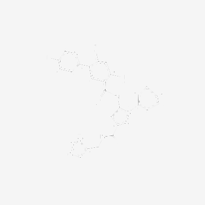 O=C(NCc1cnn[nH]1)c1cc(NC(=O)c2cc(-c3ccc(F)cn3)c(Cl)cc2Cl)n(-c2ccccc2)n1